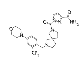 NC(=O)c1ccn(C(=O)N2CCC3(CCN(Cc4ccc(N5CCOCC5)cc4C(F)(F)F)C3)C2)n1